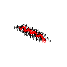 COC(=O)C(C)(C)CC(=O)C(CC(=O)C(C)(C)CC(=O)C(CC(=O)C(C)(C)CC(=O)C(CC(=O)C(C)(C)CC(=O)C(CC(=O)C(C)(C)CC(=O)C(CC(=O)C(C)(C)CC(=O)C(CC(=O)C(C)(C)CC(=O)C(CC(=O)C(C)(C)CC(=O)C(CC(=O)CN(C)C(=O)CO)CC(C)C)CC(C)C)CC(C)C)CC(C)C)CC(C)C)CC(C)C)CC(C)C)CC(C)C